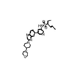 CC=CC(=CC)S(=O)(=O)Nc1cncc(-c2ccc3ncc(N4CCC(N5CCOCC5)CC4)nc3c2)c1